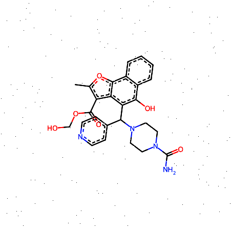 Cc1oc2c(c1C(=O)OCO)c(C(c1ccncc1)N1CCN(C(N)=O)CC1)c(O)c1ccccc12